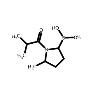 CC(C)C(=O)N1C(C)CCC1B(O)O